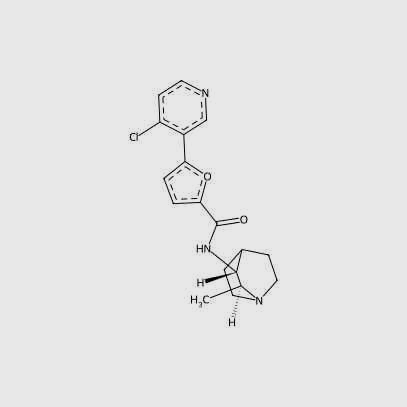 C[C@H]1[C@H](NC(=O)c2ccc(-c3cnccc3Cl)o2)C2CCN1CC2